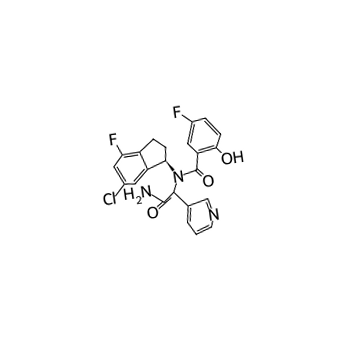 NC(=O)C(c1cccnc1)N(C(=O)c1cc(F)ccc1O)[C@@H]1CCc2c(F)cc(Cl)cc21